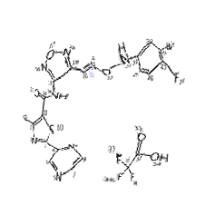 Cc1nc(-c2cnccn2)sc1C(=O)Nc1nonc1/C=N/ONc1ccc(F)c(Br)c1.O=C(O)C(F)(F)F